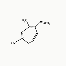 C=CC1=C(C)C=C(S)CC=C1